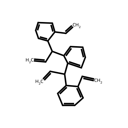 C=Cc1ccccc1C(C=C)c1ccccc1C(C=C)c1ccccc1C=C